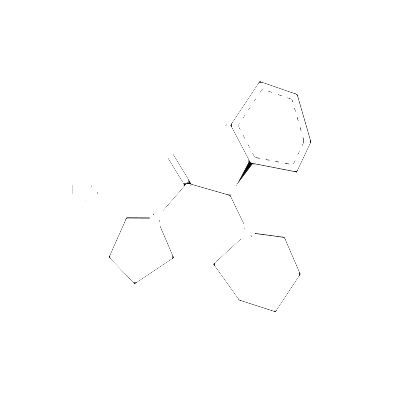 N[C@H]1CCCN1C(=O)[C@@H](c1ccccc1)N1CCCCC1